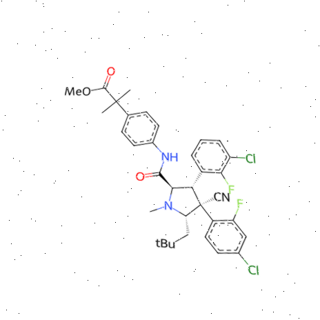 COC(=O)C(C)(C)c1ccc(NC(=O)[C@H]2[C@H](c3cccc(Cl)c3F)[C@@](C#N)(c3ccc(Cl)cc3F)[C@H](CC(C)(C)C)N2C)cc1